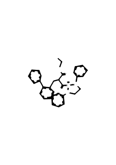 CCOC(=O)C(Cc1ccccc1-c1ccccc1)C(=S)P1(=O)N(c2ccccc2)CCN1c1ccccc1